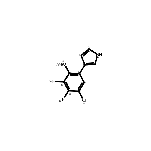 COc1c(-c2cc[nH]c2)cc(Cl)c(F)c1F